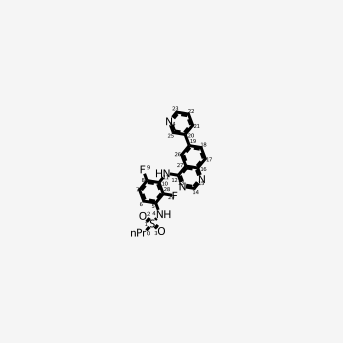 CCCS(=O)(=O)Nc1ccc(F)c(Nc2ncnc3ccc(-c4cccnc4)cc23)c1F